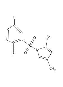 [CH2]c1cc(Br)n(S(=O)(=O)c2cc(F)ccc2F)c1